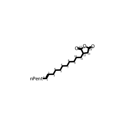 CCCCCC=CCCCCCCCCCC1CC(=O)OC1=O